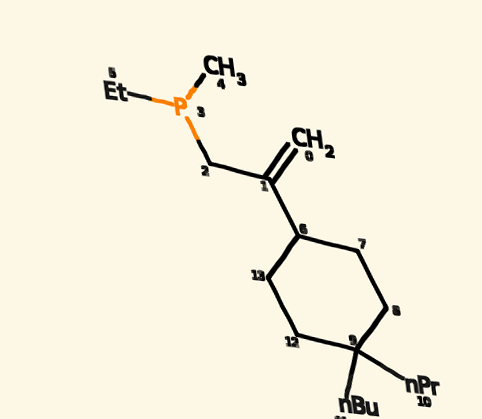 C=C(CP(C)CC)C1CCC(CCC)(CCCC)CC1